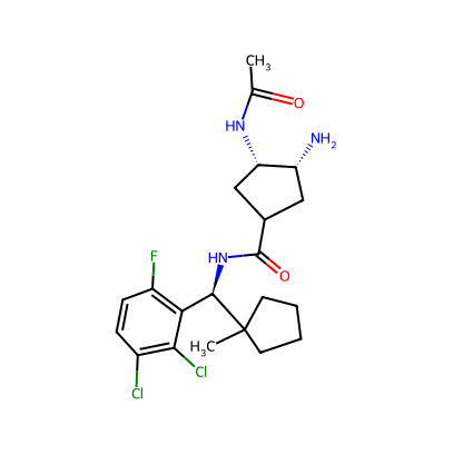 CC(=O)N[C@H]1CC(C(=O)N[C@H](c2c(F)ccc(Cl)c2Cl)C2(C)CCCC2)C[C@H]1N